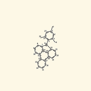 Cc1cc(C)c(B2c3cccc4c5ccccc5c5cccc2c5c34)c(C)c1